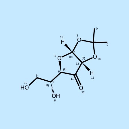 CC1(C)O[C@H]2O[C@H]([C@H](O)CO)C(=O)[C@H]2O1